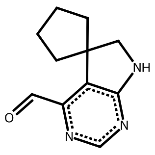 O=Cc1ncnc2c1C1(CCCC1)CN2